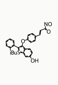 CCC(C)c1ccccc1-c1sc2cc(O)ccc2c1Oc1ccc(/C=C/C(=O)N=O)cc1